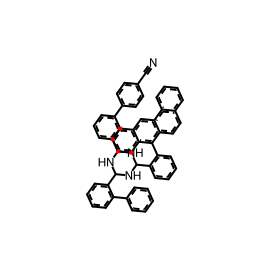 N#Cc1ccc(-c2cccc(C3NC(c4ccccc4-c4ccccc4)NC(c4ccccc4-c4c5ccccc5cc5c4ccc4ccccc45)N3)c2)cc1